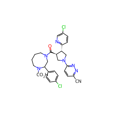 N#Cc1ccc(N2C[C@@H](C(=O)N3CCCCN(C(=O)O)C(c4ccc(Cl)cc4)C3)[C@H](c3ccc(Cl)cn3)C2)nn1